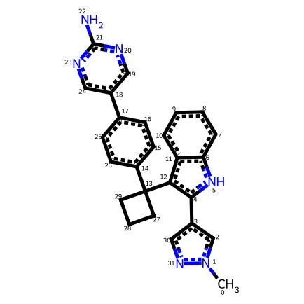 Cn1cc(-c2[nH]c3ccccc3c2C2(c3ccc(-c4cnc(N)nc4)cc3)CCC2)cn1